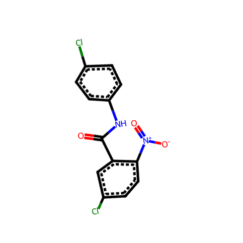 O=C(Nc1ccc(Cl)cc1)c1cc(Cl)ccc1[N+](=O)[O-]